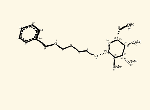 CC(=O)N[C@H]1[C@H](OCCCCOCc2ccccc2)O[C@H](COC(C)=O)[C@H](OC(C)=O)[C@@H]1OC(C)=O